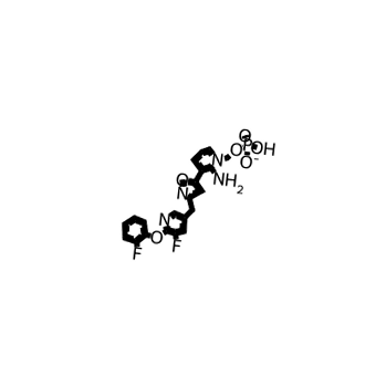 Nc1c(-c2cc(Cc3cnc(Oc4ccccc4F)c(F)c3)no2)ccc[n+]1COP(=O)([O-])O